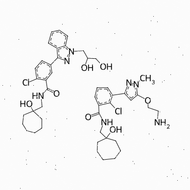 Cn1nc(-c2cccc(C(=O)NCC3(O)CCCCCC3)c2Cl)cc1OCCN.O=C(NCC1(O)CCCCCC1)c1cc(-c2nn(CC(O)CO)c3ccccc23)ccc1Cl